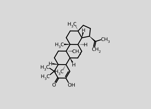 C=C(C)[C@@H]1CC[C@]2(C)CC[C@]3(C)[C@H](CC[C@@H]4[C@@]5(C)C=C(O)C(=O)C(C)(C)[C@@H]5CC[C@]43C)[C@@H]12